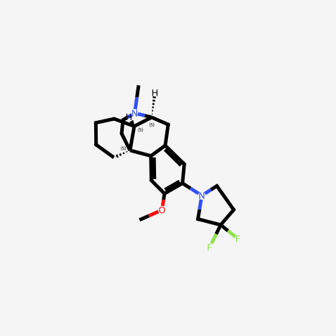 COc1cc2c(cc1N1CCC(F)(F)C1)C[C@H]1[C@H]3CCCC[C@@]23CCN1C